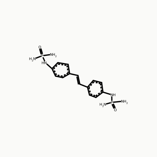 NP(N)(=O)Nc1ccc(C=Cc2ccc(NP(N)(N)=O)cc2)cc1